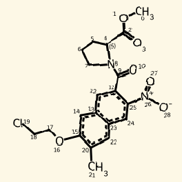 COC(=O)[C@@H]1CCCN1C(=O)c1cc2cc(OCCCl)c(C)cc2cc1[N+](=O)[O-]